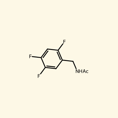 CC(=O)NCc1cc(F)c(F)cc1F